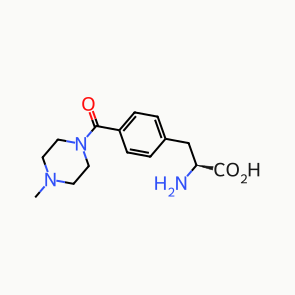 CN1CCN(C(=O)c2ccc(C[C@H](N)C(=O)O)cc2)CC1